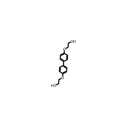 OCCOc1ccc(-c2ccc(OCCO)cc2)cc1